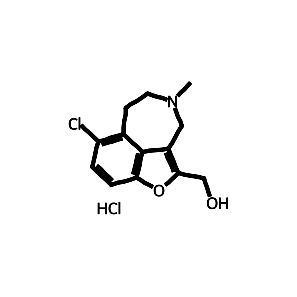 CN1CCc2c(Cl)ccc3oc(CO)c(c23)C1.Cl